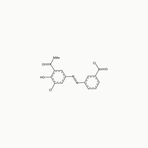 CNC(=O)c1cc(/N=N/c2cccc(C(=O)Cl)c2)cc(Cl)c1O